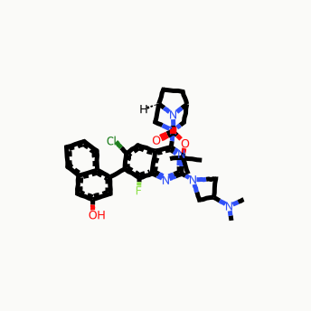 CN(C)C1CN(c2nc(N3CC4CC[C@H](C3)N4C(=O)OC(C)(C)C)c3cc(Cl)c(-c4cc(O)cc5ccccc45)c(F)c3n2)C1